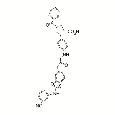 N#Cc1cccc(Nc2nc3ccc(CC(=O)CNc4ccc(C5CN(C(=O)c6ccccc6)CC5C(=O)O)cc4)cc3o2)c1